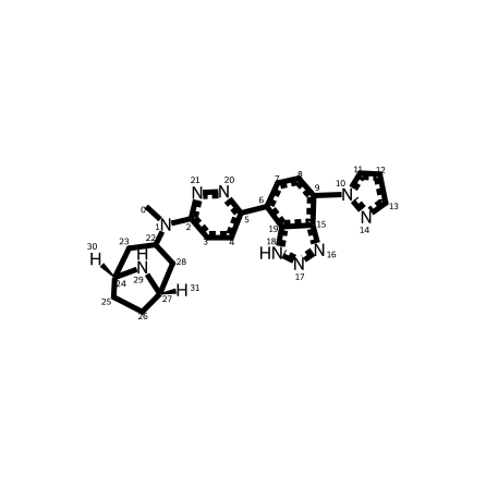 CN(c1ccc(-c2ccc(-n3cccn3)c3nn[nH]c23)nn1)C1C[C@H]2CC[C@@H](C1)N2